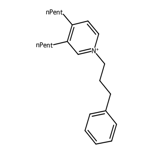 CCCCCc1cc[n+](CCCc2ccccc2)cc1CCCCC